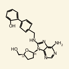 Nc1ncnc2c1nc(NCc1ccc(-c3ccccc3O)cc1)n2[C@H]1CC[C@@H](CO)O1